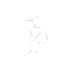 O=C1CCC2(CC=Cc3cc([N+](=O)[O-])ccc32)CC1